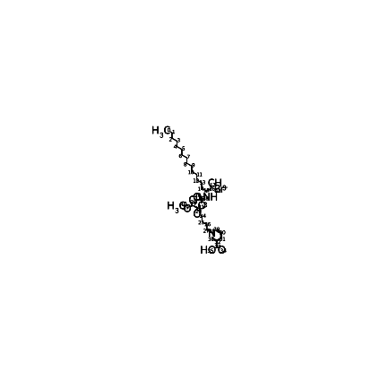 CCCCCCCCCCCCCCCC(CC)NC(=O)OC(OCCCC[n+]1cccc(C(=O)O)c1)C(C)OC.[Br-]